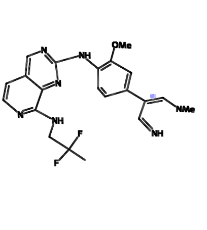 CN/C=C(\C=N)c1ccc(Nc2ncc3ccnc(NCC(C)(F)F)c3n2)c(OC)c1